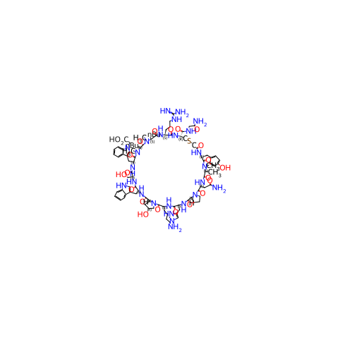 CCCC[C@H]1C(=O)N(C)[C@@H](CCCC)C(=O)N[C@@H](CCCNC(=N)N)C(=O)N[C@H](C(=O)NCC(N)=O)CSCC(=O)N[C@@H](Cc2ccc(O)cc2)C(=O)N(C)[C@@H](C)C(=O)N[C@@H](CC(N)=O)C(=O)N2CCC[C@H]2C(=O)N[C@@H](Cc2cnc[nH]2)C(=O)N[C@@H](CCCCN)C(=O)N2C[C@H](O)C[C@H]2C(=O)N[C@@H](Cc2c[nH]c3ccccc23)C(=O)N[C@@H](CO)C(=O)N[C@@H](Cc2cn(CC(=O)O)c3ccccc23)C(=O)N1C